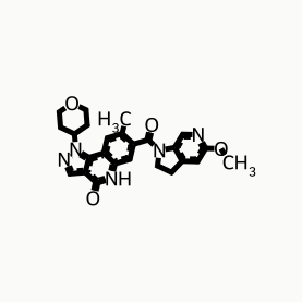 COc1cc2c(cn1)N(C(=O)c1cc3[nH]c(=O)c4cnn(C5CCOCC5)c4c3cc1C)CC2